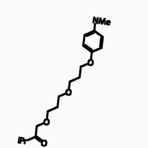 CNc1ccc(OCCCOCCCOCC(=O)C(C)C)cc1